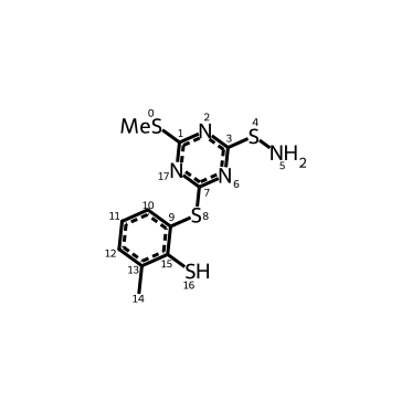 CSc1nc(SN)nc(Sc2cccc(C)c2S)n1